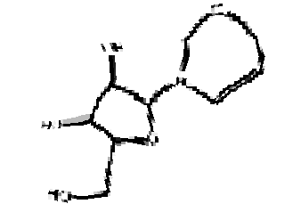 OCC1OC(N2C=CCOC2)C(O)C1O